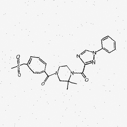 CC1(C)CN(C(=O)c2cccc(S(C)(=O)=O)c2)CCN1C(=O)c1ncn(-c2ccccc2)n1